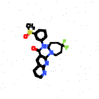 C[S+]([O-])c1cccc(NC(=O)c2cc3cccnc3nc2N2CCCC(F)(F)CC2)c1